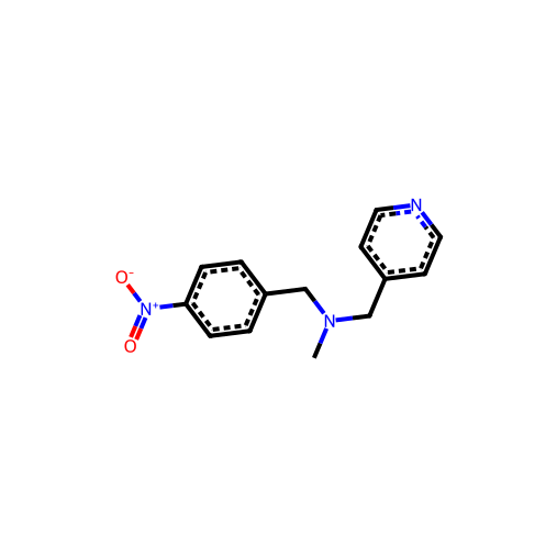 CN(Cc1ccncc1)Cc1ccc([N+](=O)[O-])cc1